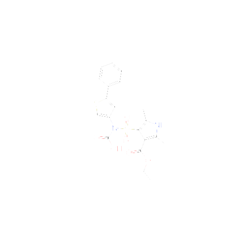 CCOC(=O)c1c(C)[nH]c(C)c1S(=O)(=O)N(C(=O)O)c1csc(-c2ccccc2)c1